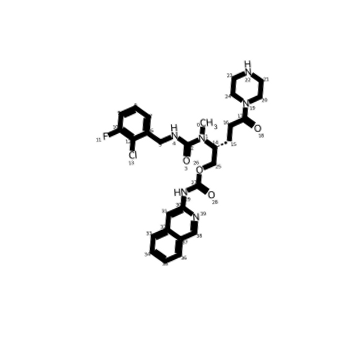 CN(C(=O)NCc1cccc(F)c1Cl)[C@H](CCC(=O)N1CCNCC1)COC(=O)Nc1cc2ccccc2cn1